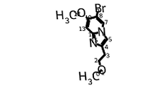 COCCc1cn2cc(Br)c(OC)cc2n1